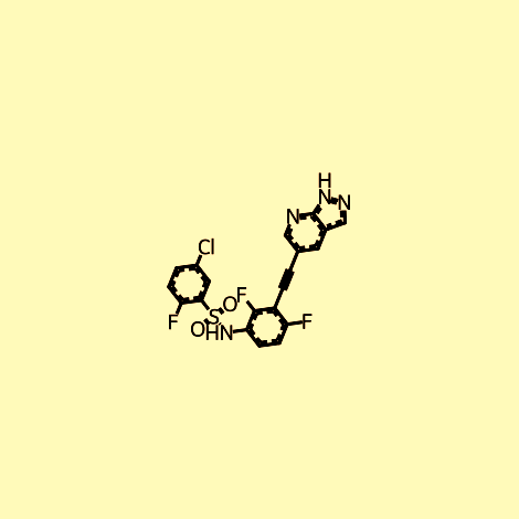 O=S(=O)(Nc1ccc(F)c(C#Cc2cnc3[nH]ncc3c2)c1F)c1cc(Cl)ccc1F